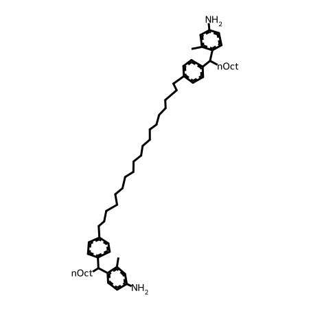 CCCCCCCCC(c1ccc(CCCCCCCCCCCCCCCCCCCc2ccc(C(CCCCCCCC)c3ccc(N)cc3C)cc2)cc1)c1ccc(N)cc1C